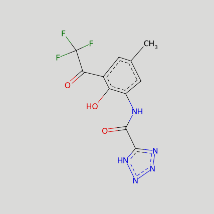 Cc1cc(NC(=O)c2nnn[nH]2)c(O)c(C(=O)C(F)(F)F)c1